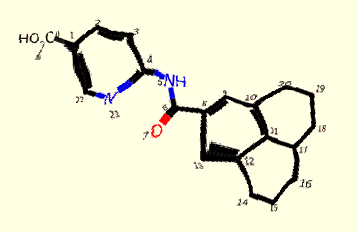 O=C(O)c1ccc(NC(=O)c2cc3c4c(c2)CCCC4CCC3)nc1